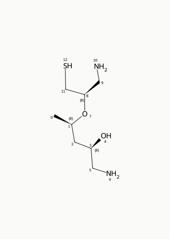 C[C@H](C[C@@H](O)CN)O[C@H](CN)CS